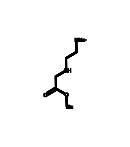 C[N]CCNCC(=O)OC(C)(C)C